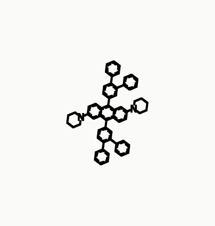 c1ccc(-c2ccc(-c3c4ccc(N5CCCCC5)cc4c(-c4ccc(-c5ccccc5)c(-c5ccccc5)c4)c4ccc(N5CCCCC5)cc34)cc2-c2ccccc2)cc1